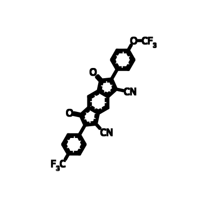 N#Cc1c(-c2ccc(OC(F)(F)F)cc2)c(=O)c2cc3c(=O)c(-c4ccc(C(F)(F)F)cc4)c(C#N)c3cc12